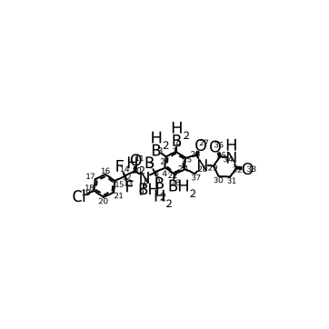 Bc1c(B)c(C(B)(B)N(B)C(=O)C(F)(F)c2ccc(Cl)cc2)c(B)c2c1C(=O)N(C1CCC(=O)NC1=O)C2